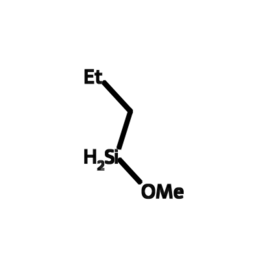 [CH2]CC[SiH2]OC